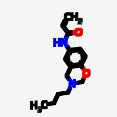 C=CC(=O)Nc1ccc2c(c1)CN(CCCC)CO2